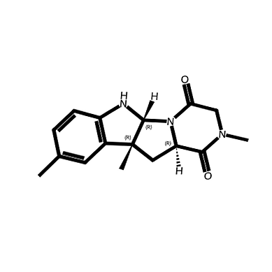 Cc1ccc2c(c1)[C@@]1(C)C[C@@H]3C(=O)N(C)CC(=O)N3[C@H]1N2